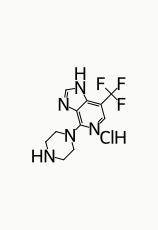 Cl.FC(F)(F)c1cnc(N2CCNCC2)c2nc[nH]c12